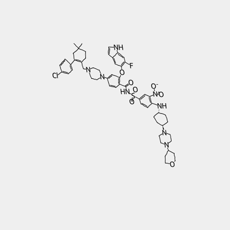 CC1(C)CCC(CN2CCN(c3ccc(C(=O)NS(=O)(=O)c4ccc(N[C@H]5CC[C@H](N6CCN(C7CCOCC7)CC6)CC5)c([N+](=O)[O-])c4)c(Oc4cc5cc[nH]c5cc4F)c3)CC2)=C(c2ccc(Cl)cc2)C1